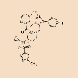 Cn1cc(S(=O)(=O)N(C2CC2)[C@H]2CCC3=Cc4c(cnn4-c4ccc(F)cc4)C[C@]3(C(=O)c3cc(C(F)(F)F)ccn3)C2)nn1